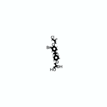 C[C@H](CCl)COc1ccc(C(C)(C)c2ccc(OC[C@@H](O)CO)cc2)cc1Br